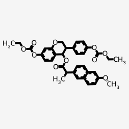 CCOC(=O)Oc1ccc(C2COc3cc(OC(=O)OCC)ccc3C2OC(=O)C(C)c2ccc3cc(OC)ccc3c2)cc1